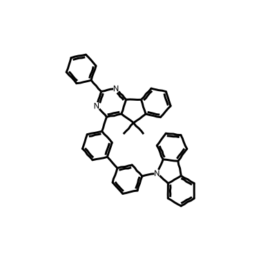 CC1(C)c2ccccc2-c2nc(-c3ccccc3)nc(-c3cccc(-c4cccc(-n5c6ccccc6c6ccccc65)c4)c3)c21